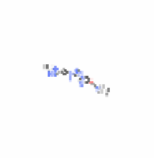 CN/N=C(\C=N)c1ccc(CNc2cc(-c3cnc4cc(OCCCN(C)C)ccn34)ncn2)cc1